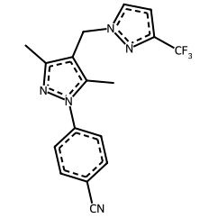 Cc1nn(-c2ccc(C#N)cc2)c(C)c1Cn1ccc(C(F)(F)F)n1